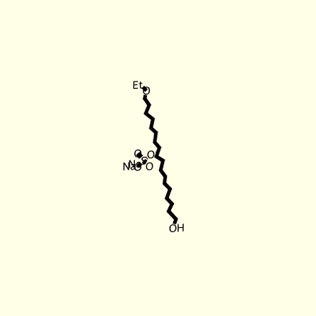 CCOCCCCCCCCCCCCCCCCCCO.O=S(=O)([O-])[O-].[Na+].[Na+]